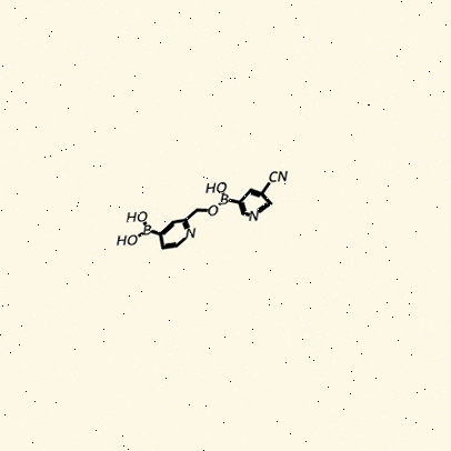 N#Cc1cncc(B(O)OCc2cc(B(O)O)ccn2)c1